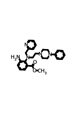 COC(=O)c1cccc(N)c1N(CCN1CCN(c2ccccc2)CC1)Cc1ccccn1